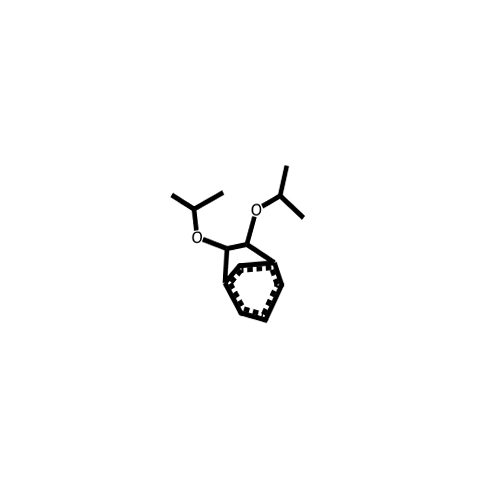 CC(C)OC1c2cccc(c2)C1OC(C)C